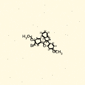 CCOc1ccc(C(=O)c2c(-c3ccc(OC)cc3)sc3ccccc23)cc1Br